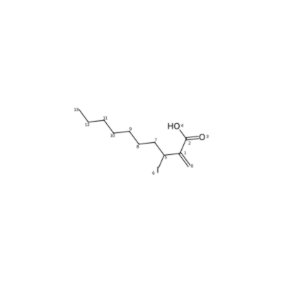 C=C(C(=O)O)C(I)CCCCCCC